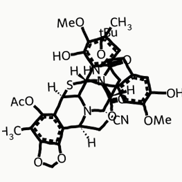 COc1cc2c(cc1O)CCN[C@]21CS[C@@H]2c3c(OC(C)=O)c(C)c4c(c3[C@H](COC1=O)N1C2[C@@H]2c3c(cc(C)c(OC)c3O)C[C@H]([C@@H]1C#N)N2C(=O)OC(C)(C)C)OCO4